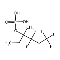 CCC(C)(OP(=O)(O)O)C(F)(F)CC(F)(F)F